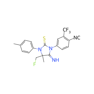 [C-]#[N+]c1ccc(N2C(=N)C(C)(CF)N(c3ccc(C)cc3)C2=S)cc1C(F)(F)F